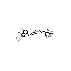 CN1Cc2c(OC3CC4(C3)CN(CCCc3cn[nH]c(=O)c3Cl)C4)ccc(Cl)c2C1=O